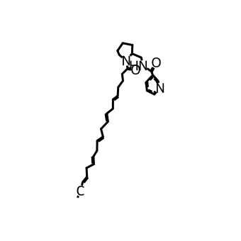 CCC=CCC=CCC=CCC=CCC=CCCCC(=O)N1CCCCC1CNC(=O)c1cccnc1